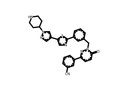 N#Cc1cccc(-c2ccc(=O)n(Cc3cccc(-c4ncc(-c5cnn(C6CCNCC6)c5)s4)c3)n2)c1